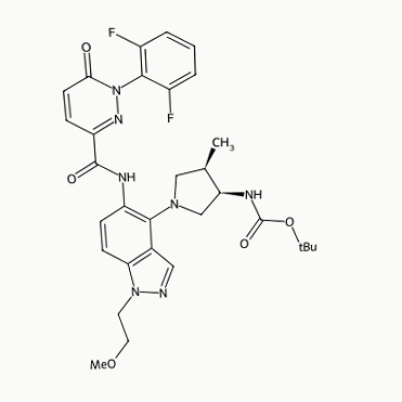 COCCn1ncc2c(N3C[C@@H](C)[C@@H](NC(=O)OC(C)(C)C)C3)c(NC(=O)c3ccc(=O)n(-c4c(F)cccc4F)n3)ccc21